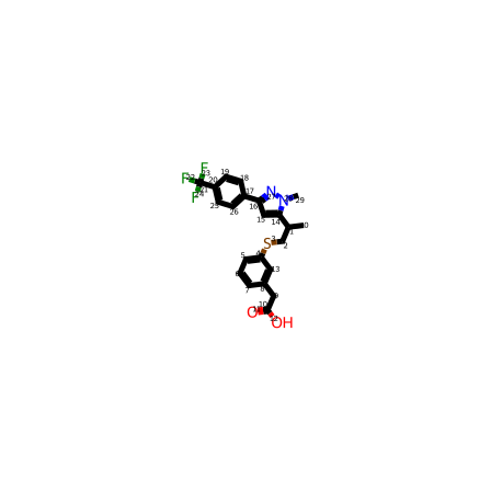 CC(CSc1cccc(CC(=O)O)c1)c1cc(-c2ccc(C(F)(F)F)cc2)nn1C